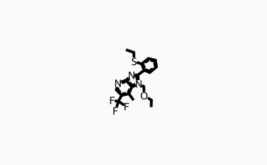 CCOCn1c(-c2ccccc2SCC)nc2ncc(C(F)(F)F)c(C)c21